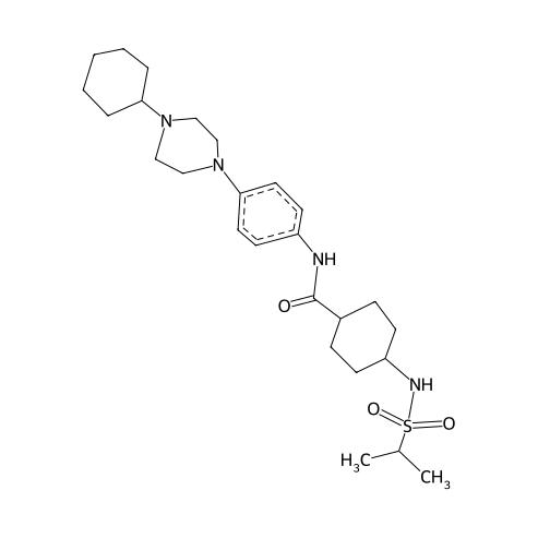 CC(C)S(=O)(=O)NC1CCC(C(=O)Nc2ccc(N3CCN(C4CCCCC4)CC3)cc2)CC1